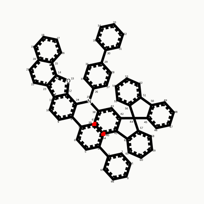 c1ccc(-c2ccc(-c3ccc4c(oc5c6ccccc6ccc45)c3N(c3ccc(-c4ccccc4)cc3)c3ccc4c(c3)C3(c5ccccc5-c5ccccc53)c3ccccc3-4)cc2)cc1